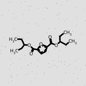 CCC(CC)OC(=O)c1ccc(C(=O)OC(CC)CC)o1